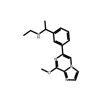 CCNC(C)c1cccc(-c2cn3ccnc3c(OC)n2)c1